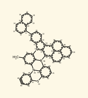 Cc1cc2c3c(c1)-n1c4cc(-c5cccc6ccccc56)ccc4c4c5ccc6cccc7ccc(c(c41)B3c1cccc3c1N2c1cc#ccc1S3)c5c76